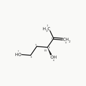 C=C(C)[C@@H](O)CCO